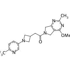 COc1nc(C)nc2c1CN(C(=O)CC1CN(c3ccc(C(F)(F)F)nc3)C1)C2